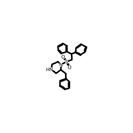 O=S(=O)(CC(c1ccccc1)c1ccccc1)N1CCNCC1Cc1ccccc1